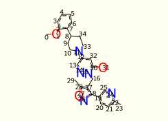 COc1ccccc1C1CCN(c2cnn(Cc3c(-c4ccc(C)nc4)noc3C)c(=O)c2)CC1